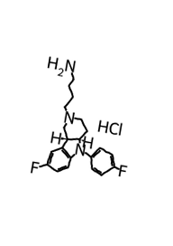 Cl.NCCCCN1CC[C@@H]2[C@@H](C1)c1cc(F)ccc1N2c1ccc(F)cc1